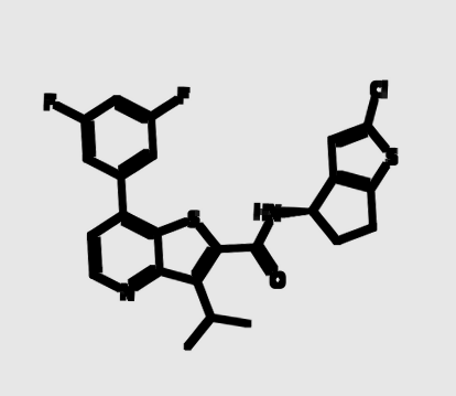 CC(C)c1c(C(=O)N[C@@H]2CCc3sc(Cl)cc32)sc2c(-c3cc(F)cc(F)c3)ccnc12